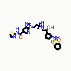 CC(C)(CCn1cnc2cc(C(=O)Nc3nccs3)cnc21)NC[C@H](O)c1cccc(NS(=O)(=O)c2ccccc2)c1